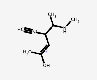 C#[N+]C(/C=C(\C)O)C(C)NC